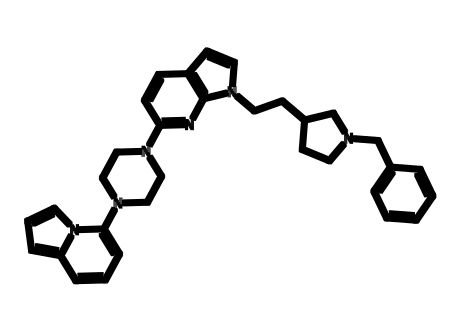 c1ccc(CN2CCC(CCn3ccc4ccc(N5CCN(c6cccc7cccn67)CC5)nc43)C2)cc1